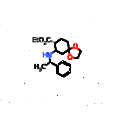 CCOC(=O)[C@@H]1CCC2(C[C@H]1N[C@H](C)c1ccccc1)OCCO2